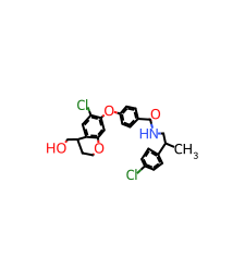 CC(CNC(=O)c1ccc(Oc2cc3c(cc2Cl)C(CO)CCO3)cc1)c1ccc(Cl)cc1